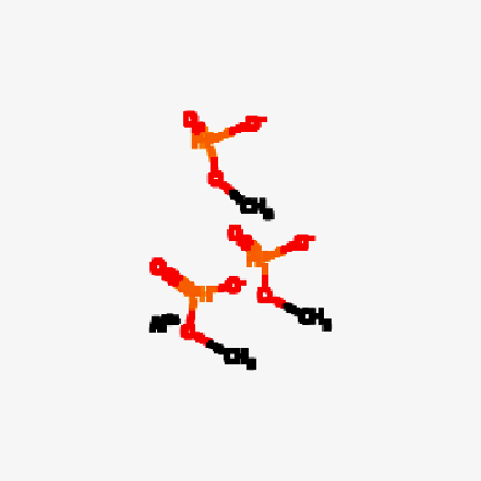 CO[PH](=O)[O-].CO[PH](=O)[O-].CO[PH](=O)[O-].[Al+3]